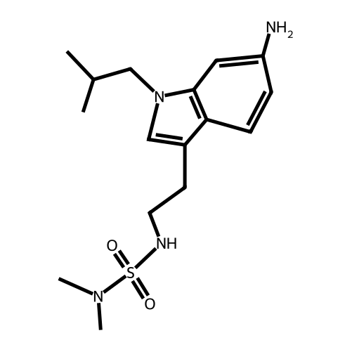 CC(C)Cn1cc(CCNS(=O)(=O)N(C)C)c2ccc(N)cc21